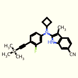 Cc1c(N(c2ccc(C#C[Si](C)(C)C)c(F)c2)C2CCC2)[nH]c2cc(C#N)ccc12